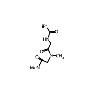 CNC(=O)CN(C)C(=O)CNC(=O)C(C)C